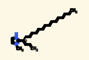 CCCCCCCCCCCCCCC[C@H](CCC)c1[nH]cc[n+]1C